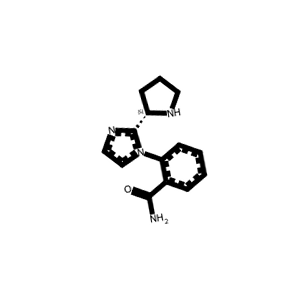 NC(=O)c1ccccc1-n1ccnc1[C@@H]1CCCN1